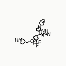 N#CC1N=C(c2ccc(OCCC3CCNCC3)c(C(F)(F)F)c2)c2ccn(C3CCOCC3)c2N1